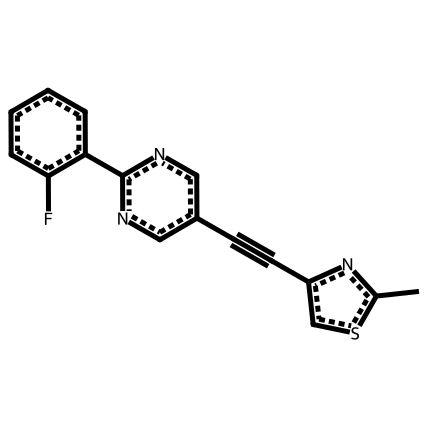 Cc1nc(C#Cc2cnc(-c3ccccc3F)nc2)cs1